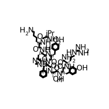 CC(C)[C@H](N)C(=O)N[C@H](CCCCN)C(=O)N[C@@H](Cc1c[nH]cn1)C(=O)N[C@@H](Cc1ccc(O)cc1)C(=O)N[C@H](Cc1ccccc1)C(=O)N[C@@H](CO)C(=O)N[C@@H](Cc1ccc(O)cc1)C(=O)N[C@@H](CCCNC(=N)N)C(N)=O